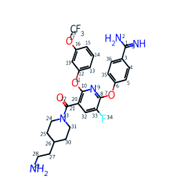 N=C(N)c1ccc(Oc2nc(Oc3cccc(OC(F)(F)F)c3)c(C(=O)N3CCC(CCN)CC3)cc2F)cc1